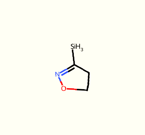 [SiH3]C1=NOCC1